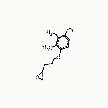 CCCc1ccc(OCCCC2CO2)c(C)c1C